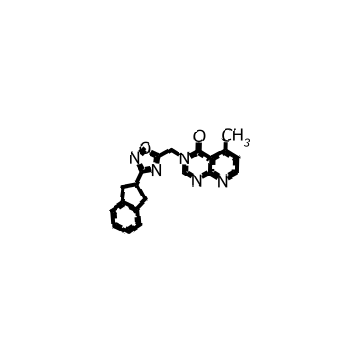 Cc1ccnc2ncn(Cc3nc(C4Cc5ccccc5C4)no3)c(=O)c12